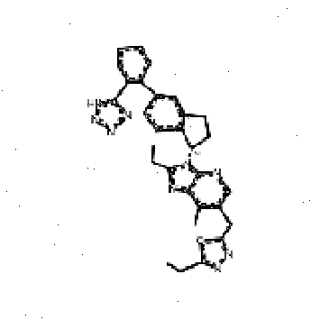 CCc1nnc(Cc2cnc3c(nc(CC)n3[C@H]3CCc4cc(-c5ccccc5-c5nnn[nH]5)ccc43)c2C)o1